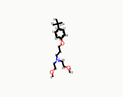 COCCN(CCCOc1ccc(C(C)(C)C)cc1)CCOC